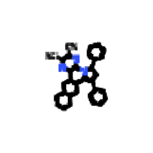 N#Cc1nc2c3cc4ccccc4cc3c3c(-c4ccccc4)cc(-c4ccccc4)n3c2nc1C#N